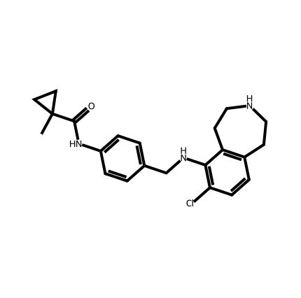 CC1(C(=O)Nc2ccc(CNc3c(Cl)ccc4c3CCNCC4)cc2)CC1